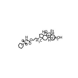 CC[C@H]1[C@@H](O)[C@@H]2[C@H](CC[C@]3(C)[C@@H](CCCOC(=O)NS(=O)(=O)N4CCCCC4)CC[C@@H]23)[C@@]2(C)CC[C@@H](O)C[C@@H]12